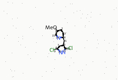 COc1ccc(Cc2cc(Cl)nnc2Cl)nc1